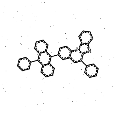 c1ccc(-c2c3ccccc3c(-c3ccc4c(c3)cc(-c3ccccc3)c3nc5ccccc5n34)c3ccccc23)cc1